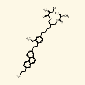 C=C(C)C(=O)OCC(CCCCc1ccc(CCc2ccc3c(ccc4cc(CCC)ccc43)c2)c(CC)c1)COC(=O)C(=C)CO